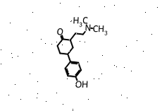 CN(C)CCC1CC(c2ccc(O)cc2)CCC1=O